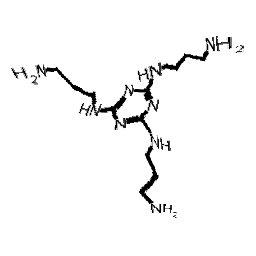 NCCCNc1nc(NCCCN)nc(NCCCN)n1